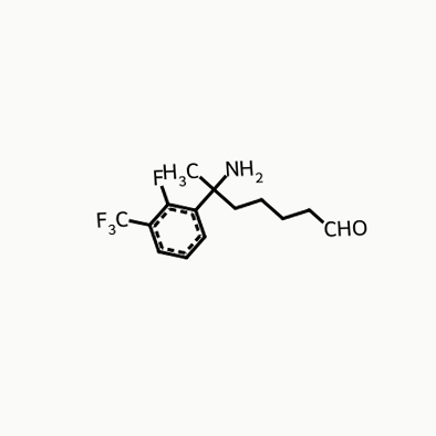 CC(N)(CCCCC=O)c1cccc(C(F)(F)F)c1F